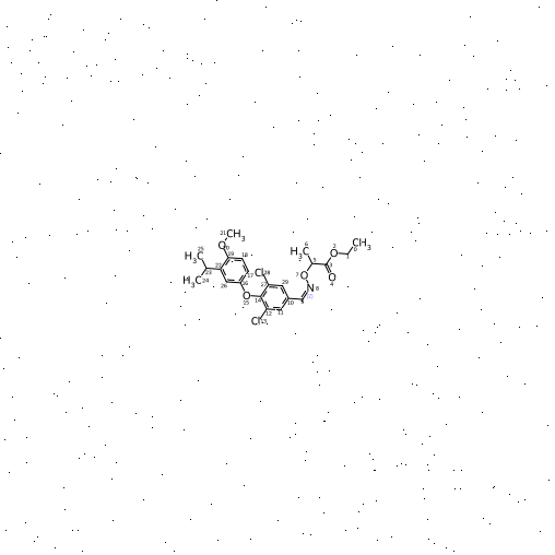 CCOC(=O)C(C)O/N=C\c1cc(Cl)c(Oc2ccc(OC)c(C(C)C)c2)c(Cl)c1